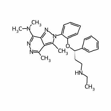 CCNCC[C@H](Oc1ccccc1-n1nc2c(N(C)C)nnc(C)c2c1C)c1ccccc1